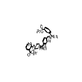 CCC(NCc1ccc(CN2CCN(c3ncccc3C(=O)OC(C)C)CC2)cc1)c1cccc(C(=O)OC(C)C)c1.Cl.Cl